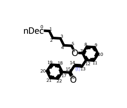 CCCCCCCCCCCCCCCOc1ccccc1/C=C/C(=O)c1ccccc1